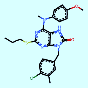 CCCSc1nc(N(C)c2ccc(OC)cc2)c2[nH]c(=O)n(Cc3ccc(Cl)c(C)c3)c2n1